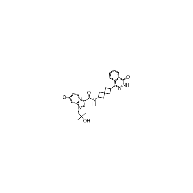 CC(C)(O)Cn1cc(C(=O)N[C@H]2CC3(C2)C[C@H](c2n[nH]c(=O)c4ccccc42)C3)n2ccc(=O)cc12